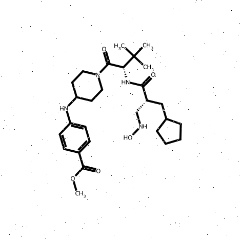 COC(=O)c1ccc(NC2CCN(C(=O)[C@@H](NC(=O)[C@@H](CNO)CC3CCCC3)C(C)(C)C)CC2)cc1